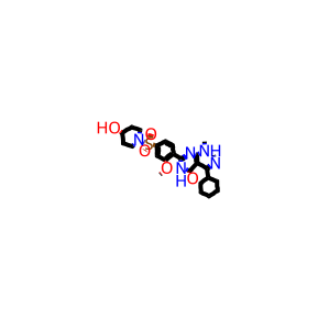 C/N=C(\c1c(NC)nc(-c2ccc(S(=O)(=O)N3CCC(O)CC3)cc2OC)[nH]c1=O)C1CCCCC1